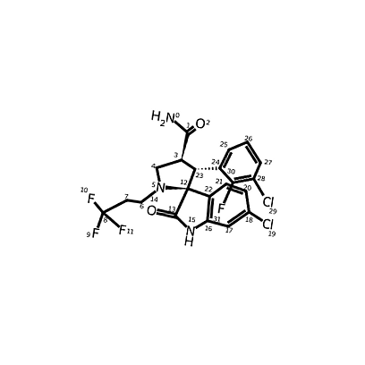 NC(=O)[C@@H]1CN(CCC(F)(F)F)[C@@]2(C(=O)Nc3cc(Cl)ccc32)[C@H]1c1cccc(Cl)c1F